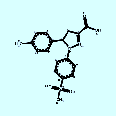 Cc1ccc(C2CC(C(=O)O)=NN2c2ccc(S(C)(=O)=O)cc2)cc1